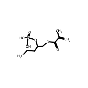 C=C(C)C(=O)OCC(CCC)OP(=O)(O)O